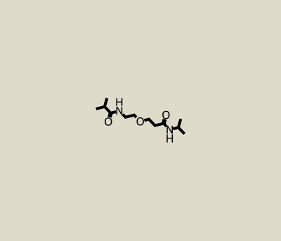 CC(C)NC(=O)CCOCCNC(=O)C(C)C